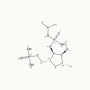 CO[C@@H]1[C@H](OP(O)(=S)OC(C)C)[C@@H](CCP(=O)(O)O)C[C@H]1C